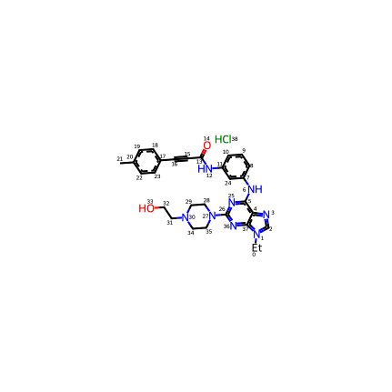 CCn1cnc2c(Nc3cccc(NC(=O)C#Cc4ccc(C)cc4)c3)nc(N3CCN(CCO)CC3)nc21.Cl